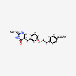 COc1ccc(CCOc2cccc(Cc3cnc(SC)[nH]c3=O)c2)cc1